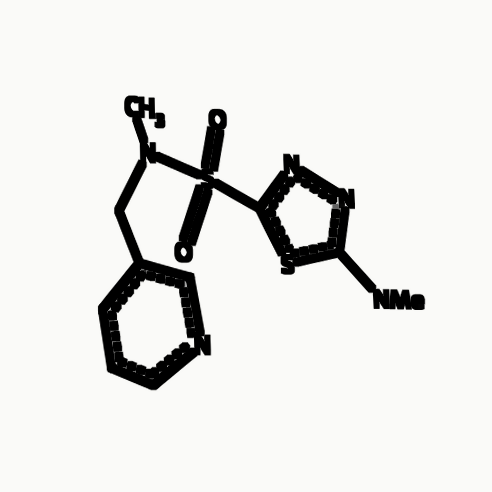 CNc1nnc(S(=O)(=O)N(C)Cc2cccnc2)s1